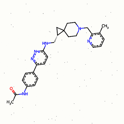 CC(=O)Nc1ccc(-c2ccc(NC[C@@H]3CC34CCN(Cc3ncccc3C)CC4)nn2)cc1